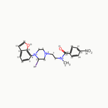 CN(CCN1CCN(c2cccc3ccoc23)C(I)C1)C(=O)c1ccc([N+](=O)[O-])cc1